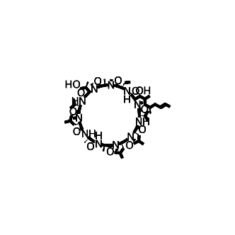 C/C=C/C[C@@H](C)CC(C)[C@@H](O)[C@H]1C(=O)N[C@@H](CC)C(=O)N(C)[C@H](C)C(=O)N(C)[C@@H]([C@H](C)CO)C(=O)N[C@@H](C(C)C)C(=O)N(C)[C@@H](CC(C)C)C(=O)N[C@@H](C)C(=O)N[C@H](C)C(=O)N(C)[C@@H](CC(C)C)C(=O)N(C)[C@@H](CC(C)C)C(=O)N[C@@H](C(C)C)C(=O)N1C